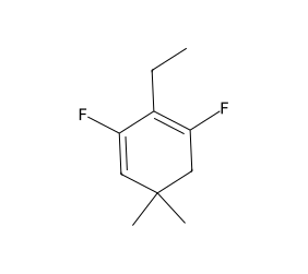 CCC1=C(F)CC(C)(C)C=C1F